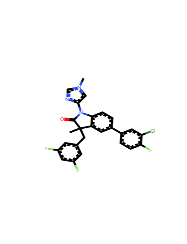 Cn1cnc(N2C(=O)C(C)(Cc3cc(F)cc(F)c3)c3cc(-c4ccc(F)c(Cl)c4)ccc32)c1